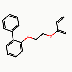 C=CC(=C)OCCOc1ccccc1-c1ccccc1